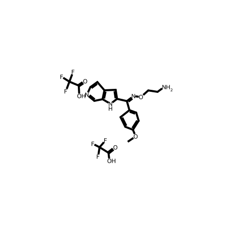 COc1ccc(C(=NOCCN)c2cc3ccncc3[nH]2)cc1.O=C(O)C(F)(F)F.O=C(O)C(F)(F)F